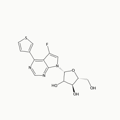 OC[C@H]1O[C@@H](n2cc(F)c3c(-c4ccsc4)ncnc32)C(O)[C@@H]1O